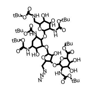 CC(C)(C)OC(=O)NCC1OC(OC2C(NC(=O)OC(C)(C)C)CC(NC(=O)OC(C)(C)C)C(O)C2OC2OC(CN=[N+]=[N-])C(OC3OC(C(=O)OC(C)(C)C)C(O)C(O)C3NC(=O)OC(C)(C)C)C2O)C(NC(=O)OC(C)(C)C)C(O)C1O